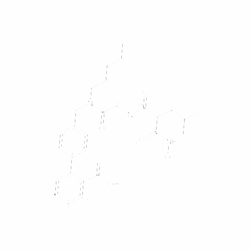 CCCCCN(Cc1ccc(-c2ccccc2C(=O)O)cc1)C(=O)CNC(=O)C(CC(C)C)C(=O)NO